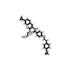 O=C(NCCO)/C(=C\c1ccc(C2CC2)cc1)NC(=O)c1ccc(OCCc2ccc(C3CC3)cc2)cc1